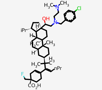 CCC/C=C(/C1=CC[C@](CF)(C(=O)O)CC1)C(C)(C)[C@@H]1CC[C@]2(C)[C@H](CC[C@@H]3[C@H]4[C@H](C(C)C)CC[C@]4([C@@H](O)CN(CCN(C)C)Cc4ccc(Cl)cc4)CC[C@]32C)C1